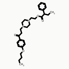 CCCCOc1ccc(C(=O)CCN2CCN(CCOC(=O)C(CC)c3ccccc3)CC2)cc1